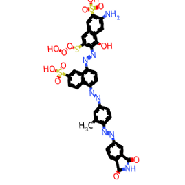 Cc1cc(N=Nc2ccc(N=Nc3c(SOOO)cc4cc(S(=O)(=O)O)c(N)cc4c3O)c3cc(S(=O)(=O)O)ccc23)ccc1N=Nc1ccc2c(c1)C(=O)NC2=O